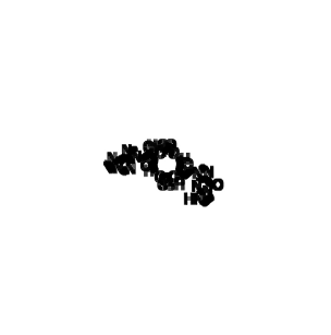 O=C1C2N=CN([C@H]3C[C@@H]4OP(=O)(S)OC[C@H]5O[C@@H](n6cnc7c6ncn6ccnc76)[C@H](O)[C@@H]5OP(=O)(O)OC[C@H]4O3)C2=NC2NC=CN12